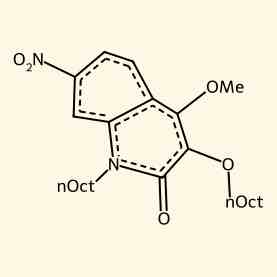 CCCCCCCCOc1c(OC)c2ccc([N+](=O)[O-])cc2n(CCCCCCCC)c1=O